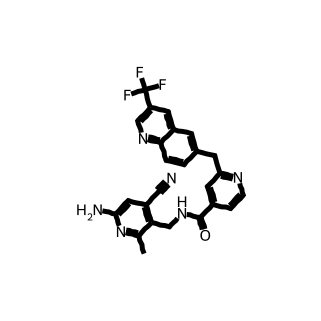 Cc1nc(N)cc(C#N)c1CNC(=O)c1ccnc(Cc2ccc3ncc(C(F)(F)F)cc3c2)c1